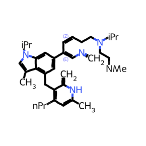 C=N/C=C(\C=C/CCN(CCNC)C(C)C)c1cc(CC2=C(CCC)C=C(C)NC2=C)c2c(C)cn(C(C)C)c2c1